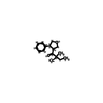 CCC(C)(C)C(=O)N1COC[C@@H]1c1ccccc1